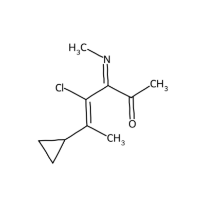 C/N=C(C(C)=O)\C(Cl)=C(/C)C1CC1